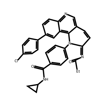 CCC(=O)/N=c1/ccc2cnc3ccc(-c4ccc(Cl)cc4)cc3c2n1-c1ccc(C(=O)NC2CC2)cc1